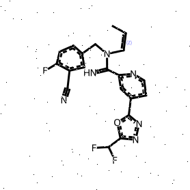 C/C=C\N(Cc1ccc(F)c(C#N)c1)C(=N)c1cc(-c2nnc(C(F)F)o2)ccn1